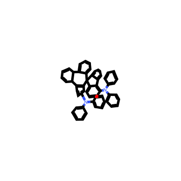 C1=CC2c3ccccc3C3(c4ccccc4-c4c(N(c5ccccc5)c5ccccc5)cccc43)c3cc(N(c4ccccc4)c4ccccc4)ccc3C2C=C1